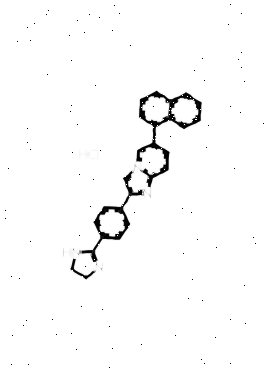 Cl.c1ccc2c(-c3ccc4nc(-c5ccc(C6=NCCN6)cc5)cn4c3)cccc2c1